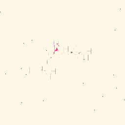 CC(C)(C)CCCCO[PH](=O)OCCCCC(C)(C)C